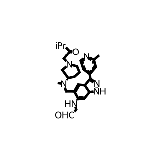 Cc1cc(C2=NNC3C=C(NCC=O)C(CN(C)[C@@H]4CCCN(CC(=O)C(C)C)C4)=CC23)ccn1